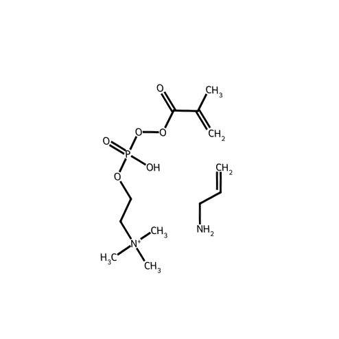 C=C(C)C(=O)OOP(=O)(O)OCC[N+](C)(C)C.C=CCN